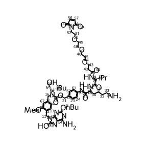 CCCCOc1nc(N)c2nc(O)n(Cc3ccc(CN(C(=O)OCc4ccc(NC(=O)[C@H](CCCCN)NC(=O)[C@@H](NC(=O)CCOCCOCCOCCN5C(=O)C=CC5=O)C(C)C)cc4)[C@H](CO)[C@@H](C)CC)cc3OC)c2n1